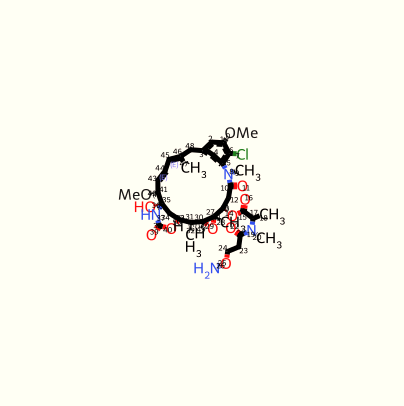 COc1cc2cc(c1Cl)N(C)C(=O)C[C@H](OC(=O)C(C)N(C)C(=O)CCON)[C@]1(C)O[C@H]1[C@H](C)[C@@H]1C[C@@](O)(NC(=O)O1)[C@H](OC)/C=C/C=C(\C)C2